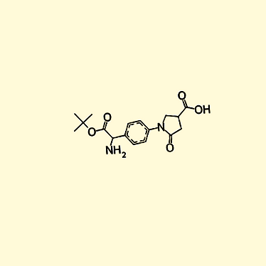 CC(C)(C)OC(=O)C(N)c1ccc(N2CC(C(=O)O)CC2=O)cc1